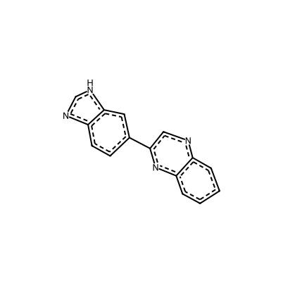 c1ccc2nc(-c3ccc4nc[nH]c4c3)cnc2c1